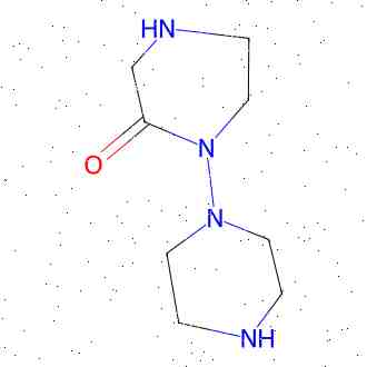 O=C1CNCCN1N1CCNCC1